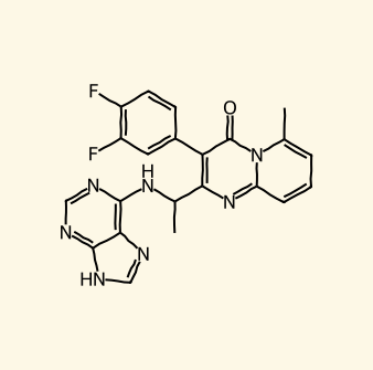 Cc1cccc2nc(C(C)Nc3ncnc4[nH]cnc34)c(-c3ccc(F)c(F)c3)c(=O)n12